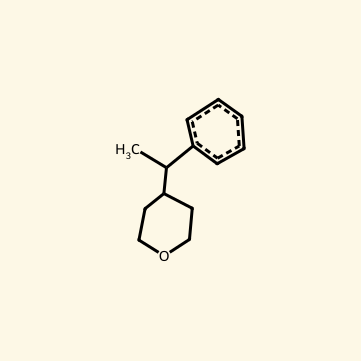 CC(c1ccccc1)C1CCOCC1